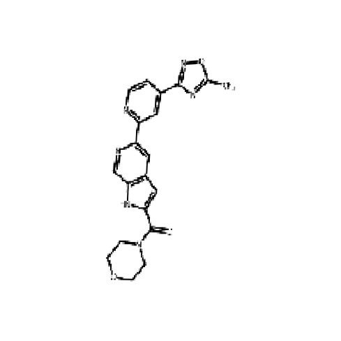 O=C(c1cc2cc(-c3cc(-c4noc(C(F)(F)F)n4)ccn3)ncc2[nH]1)N1CCOCC1